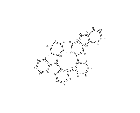 c1ccc(-n2c3ccccc3c3ccccc3c3cc4c(cc3c3ccccc32)sc2ccccc24)cc1